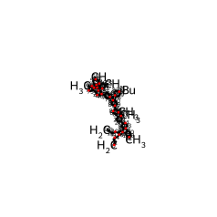 C=C/C=C\CCCC1(CCC/C=C\C=C)c2cc(C)ccc2-c2ccc(-c3ccc4c(c3)C(C)(C)c3cc(-c5ccc(N(c6ccc(-c7ccc8c(c7)C(c7ccc(C)cc7)(c7ccc(C)cc7)c7cc(C)ccc7-8)cc6)c6ccc(C(C)CC)cc6)cc5)ccc3-4)cc21